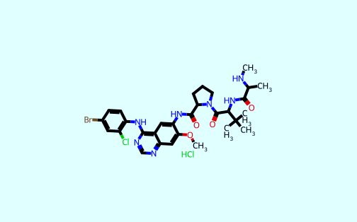 CNC(C)C(=O)NC(C(=O)N1CCCC1C(=O)Nc1cc2c(Nc3ccc(Br)cc3Cl)ncnc2cc1OC)C(C)(C)C.Cl